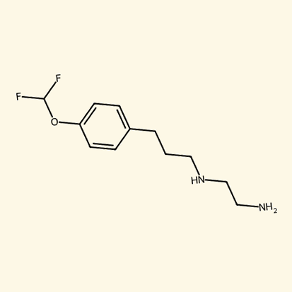 NCCNCCCc1ccc(OC(F)F)cc1